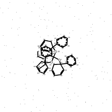 CCN(CC)CC(OC1(c2ccccc2)C=CC=CC1)(OC1(c2ccccc2)C=CC=CC1)OC1(c2ccccc2)C=CC=CC1